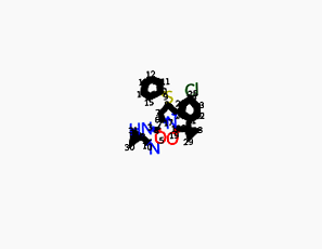 N#CC1(NC(=O)[C@@H]2C[C@@H](Sc3ccccc3)CN2C(=O)C2(c3ccc(Cl)cc3)CC2)CC1